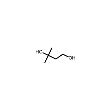 [CH2]C(C)(O)CCO